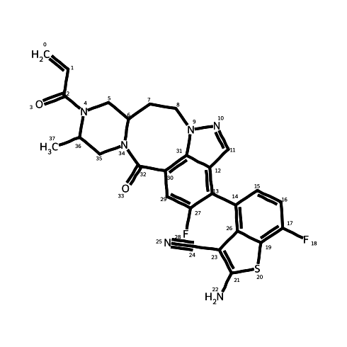 C=CC(=O)N1CC2CCn3ncc4c(-c5ccc(F)c6sc(N)c(C#N)c56)c(F)cc(c43)C(=O)N2CC1C